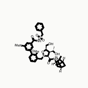 CNc1cc(C(=O)NS(=O)(=O)Cc2ccccc2)cc(-c2cccc(CN3O[C@@H](CO)[C@@H]([C@H](C)O)[C@H]3C(=O)N[C@H]3C[C@H]4C[C@@H]([C@@H]3C)C4(C)C)c2OC)c1